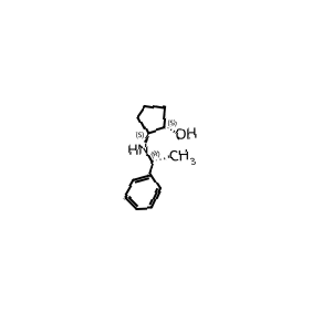 C[C@@H](N[C@H]1CCC[C@@H]1O)c1ccccc1